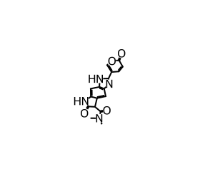 CN(C)C(=O)C1C(=O)Nc2cc3[nH]c(-c4ccc(=O)oc4)nc3cc21